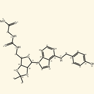 COC(=O)CNC(=O)NCC1OC(n2cnc3c(NCc4ccc(O)cc4)ncnc32)C2OC(C)(C)OC12